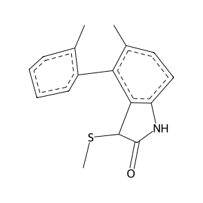 CSC1C(=O)Nc2ccc(C)c(-c3ccccc3C)c21